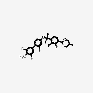 CC1COC(c2ccc(C(F)(F)Oc3ccc(-c4cc(F)c(C(F)(F)F)c(F)c4)c(F)c3)c(F)c2F)OC1